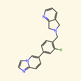 Fc1cc(-c2ccc3nccn3c2)ccc1CN1Cc2cccnc2C1